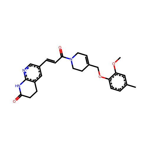 COc1cc(C)ccc1OCC1=CCN(C(=O)C=Cc2cnc3c(c2)CCC(=O)N3)CC1